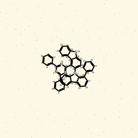 c1ccc(-c2nc(-c3ccccc3)nc(-c3c(-n4c5ccccc5c5cccc(-c6ccccc6)c54)ccc4sc5ccccc5c34)n2)cc1